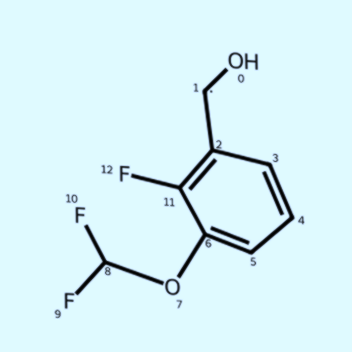 O[CH]c1cccc(OC(F)F)c1F